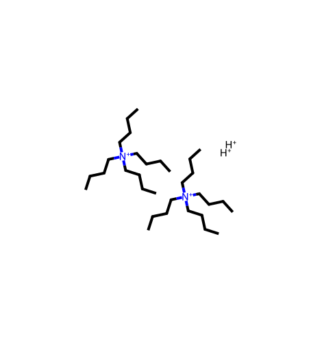 CCCC[N+](CCCC)(CCCC)CCCC.CCCC[N+](CCCC)(CCCC)CCCC.[H+].[H+]